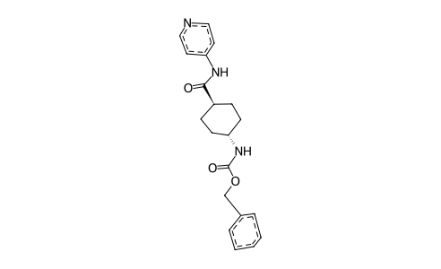 O=C(N[C@H]1CC[C@H](C(=O)Nc2ccncc2)CC1)OCc1ccccc1